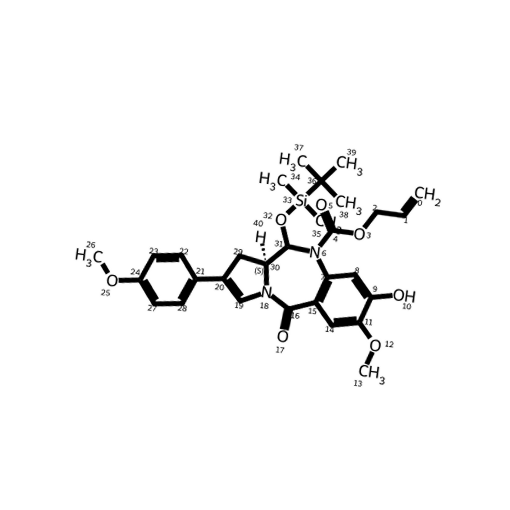 C=CCOC(=O)N1c2cc(O)c(OC)cc2C(=O)N2C=C(c3ccc(OC)cc3)C[C@H]2C1O[Si](C)(C)C(C)(C)C